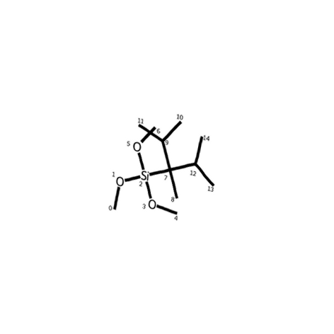 CO[Si](OC)(OC)C(C)(C(C)C)C(C)C